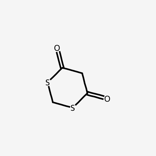 O=C1CC(=O)SCS1